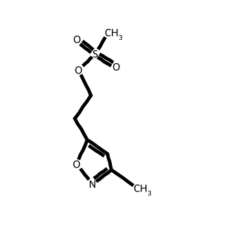 Cc1cc(CCOS(C)(=O)=O)on1